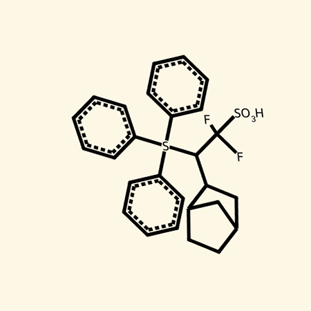 O=S(=O)(O)C(F)(F)C(C1CC2CCC1C2)S(c1ccccc1)(c1ccccc1)c1ccccc1